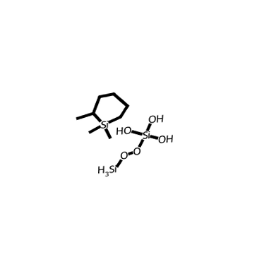 CC1CCCC[Si]1(C)C.O[Si](O)(O)OO[SiH3]